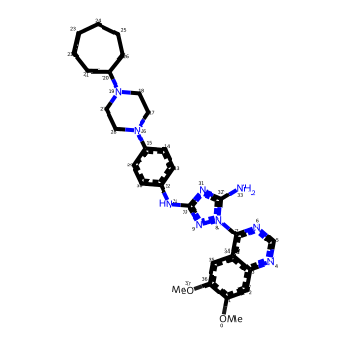 COc1cc2ncnc(-n3nc(Nc4ccc(N5CCN(C6CCCCCC6)CC5)cc4)nc3N)c2cc1OC